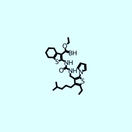 B=C(OCC)c1c(NC(=O)NCc2c(-n3cccc3)sc(CC)c2CCCC(C)C)sc2c1CCCC2